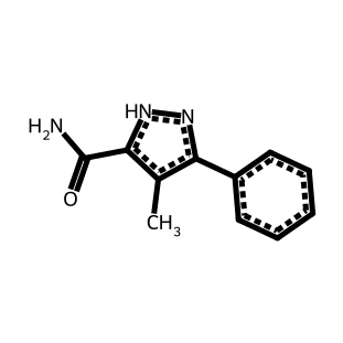 Cc1c(-c2ccccc2)n[nH]c1C(N)=O